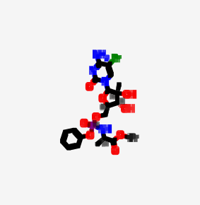 CC(C)OC(=O)[C@@H](C)N[P@@](=O)(OC[C@H]1OC(n2cc(Br)c(N)nc2=O)[C@](C)(O)[C@@H]1O)Oc1ccccc1